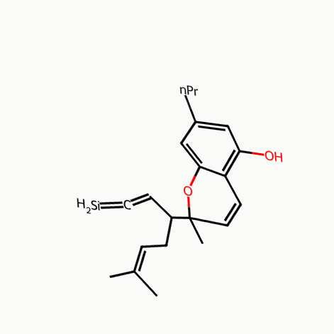 CCCc1cc(O)c2c(c1)OC(C)(C(C=C=[SiH2])CC=C(C)C)C=C2